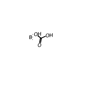 O=C(O)O.[B]